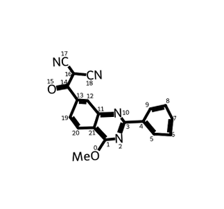 COc1nc(-c2ccccc2)nc2cc(C(=O)C(C#N)C#N)ccc12